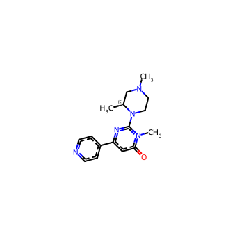 C[C@H]1CN(C)CCN1c1nc(-c2ccncc2)cc(=O)n1C